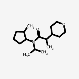 CC1CCCC1N(C(=O)C(C)C1CCOCC1)C(C)C